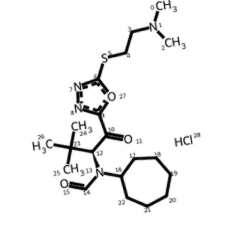 CN(C)CCSc1nnc(C(=O)[C@@H](N(C=O)C2CCCCCC2)C(C)(C)C)o1.Cl